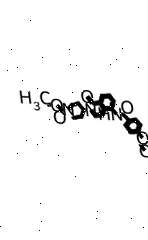 CCOC(=O)N1CCC(n2ccc3c(NC(=O)c4ccc(OCC)cc4)cccc3c2=O)CC1